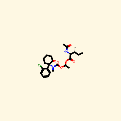 CC[C@@H](C)[C@H](NC(C)=O)C(=O)OC(C)OC(=O)N(C)[C@@]1(c2ccccc2Cl)CCCCC1=O